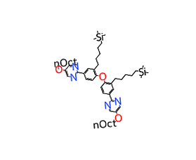 CCCCCCCCOc1cnc(-c2ccc(Oc3ccc(-c4ncc(OCCCCCCCC)cn4)cc3CCCCC[Si](C)(C)C)c(CCCCC[Si](C)(C)C)c2)nc1